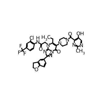 CCc1c(N2CCN(C(=O)c3nc(C)ncc3O)CC2)c(=O)n2nc(-c3ccc4c(c3)CCO4)nc2n1CC(=O)Nc1ccc(C(F)(F)F)cc1Cl